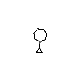 C1C[N]CCN(C2CC2)C1